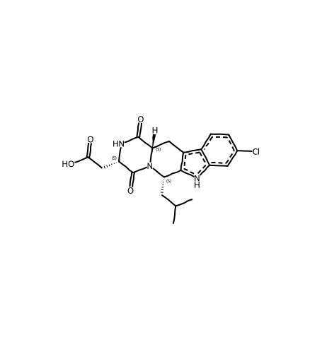 CC(C)C[C@H]1c2[nH]c3cc(Cl)ccc3c2C[C@H]2C(=O)N[C@@H](CC(=O)O)C(=O)N21